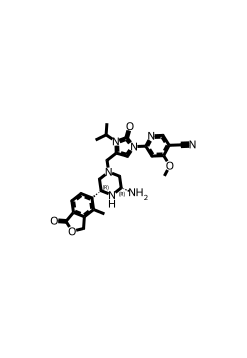 COc1cc(-n2cc(CN3C[C@@H](c4ccc5c(c4C)COC5=O)N[C@@H](N)C3)n(C(C)C)c2=O)ncc1C#N